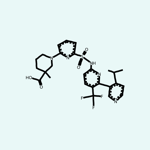 CC(C)c1ccncc1-c1nc(NS(=O)(=O)c2cccc(N3CCCC(C)(C(=O)O)C3)n2)ccc1C(F)(F)F